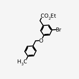 CCOC(=O)Cc1cc(Br)cc(OCc2ccc(C)cc2)c1